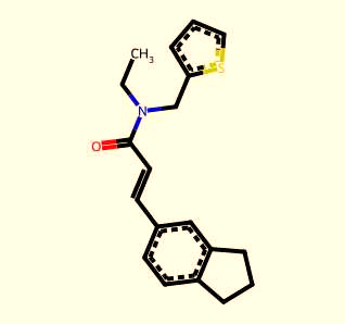 CCN(Cc1cccs1)C(=O)C=Cc1ccc2c(c1)CCC2